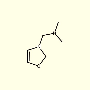 CN(C)CN1C=COC1